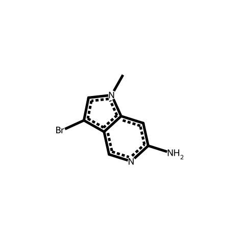 Cn1cc(Br)c2cnc(N)cc21